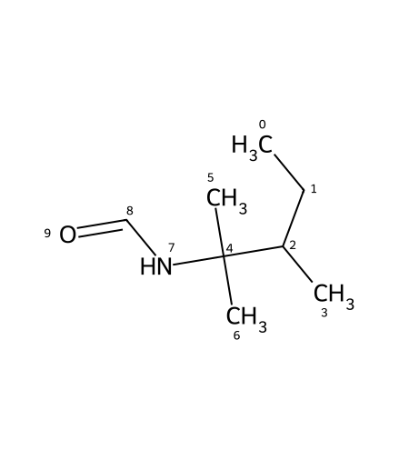 CCC(C)C(C)(C)NC=O